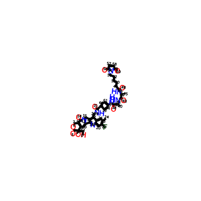 CC[C@@]1(O)C(=O)OCc2c1cc1n(c2=O)Cc2c-1nc1cc(F)c(C)cc1c2CNC(=O)c1ccc(NC(=O)[C@H](C)NC(=O)[C@H](C)NC(=O)CCCCCN2C(=O)C=CC2=O)cc1